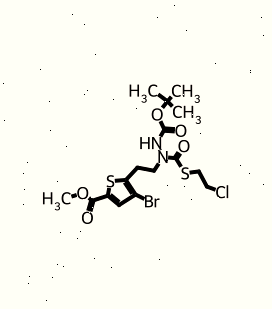 COC(=O)c1cc(Br)c(CCN(NC(=O)OC(C)(C)C)C(=O)SCCCl)s1